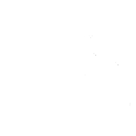 COc1c(Cc2cc(Cl)cc(Cl)c2)c(C)cn1-c1cccn1CCO